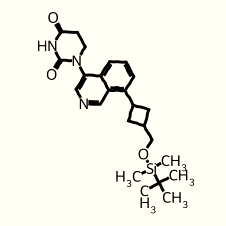 CC(C)(C)[Si](C)(C)OCC1CC(c2cccc3c(N4CCC(=O)NC4=O)cncc23)C1